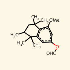 COc1cc(OC=O)cc2c1C(C)(C)CC(C)C2(C)C